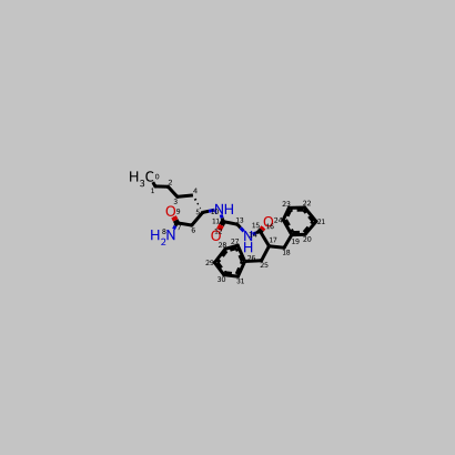 CCCCC[C@@H](CC(N)=O)NC(=O)CNC(=O)C(Cc1ccccc1)Cc1ccccc1